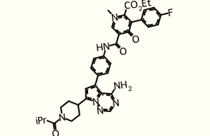 CCOC(=O)c1c(-c2ccc(F)cc2)c(=O)c(C(=O)Nc2ccc(-c3cc(C4CCN(C(=O)C(C)C)CC4)n4ncnc(N)c34)cc2)cn1C